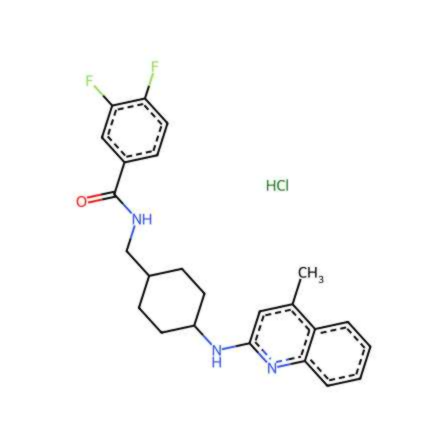 Cc1cc(NC2CCC(CNC(=O)c3ccc(F)c(F)c3)CC2)nc2ccccc12.Cl